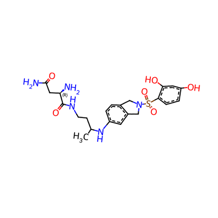 CC(CCNC(=O)[C@H](N)CC(N)=O)Nc1ccc2c(c1)CN(S(=O)(=O)c1ccc(O)cc1O)C2